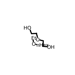 CCCCCCOCC.OCCOCCO